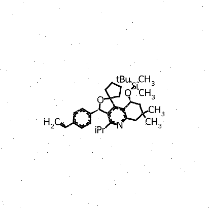 C=Cc1ccc([C@H]2OC3(CCCC3)c3c2c(C(C)C)nc2c3[C@@H](O[Si](C)(C)C(C)(C)C)CC(C)(C)C2)cc1